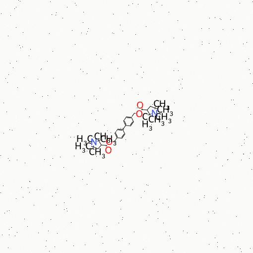 CN1C(C)(C)CC(C(=O)OCc2ccc(-c3ccc(COC(=O)C4CC(C)(C)N(C)C4(C)C)cc3)cc2)C1(C)C